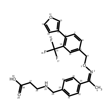 CC(=NOCc1ccc(-c2ccoc2)c(C(F)(F)F)c1)c1ccc(CNCCC(=O)O)cc1